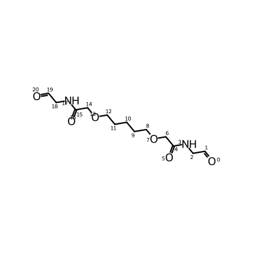 O=CCNC(=O)COCCCCCOCC(=O)NCC=O